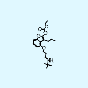 CCCc1c(OC(=O)OCC)oc2cccc(OCCCNC(C)(C)C)c12